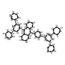 c1ccc(-c2nc(-c3ccccc3)nc(-c3ccc(-c4c5ccccc5c(-c5cc(-c6cccnc6)nc(-c6cccnc6)c5)c5ccccc45)cc3)n2)cc1